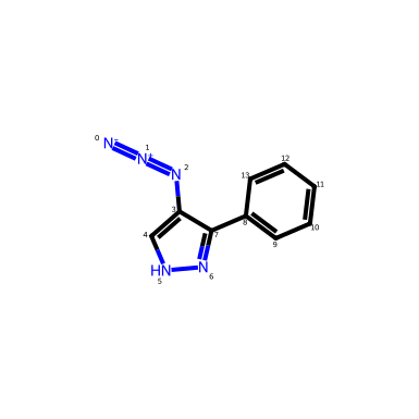 [N-]=[N+]=Nc1c[nH]nc1-c1ccccc1